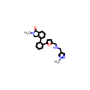 CN1Cc2c(cccc2-c2ccccc2-c2ccc(CNCc3cnn(C)c3)o2)C1=O